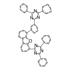 c1ccc(-c2nc(-c3ccccc3)nc(-c3cccc(-c4cccc5c4oc4c(-c6nc(-c7ccccc7)nc(-c7ccccc7)n6)cccc45)c3)n2)cc1